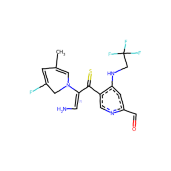 CC1=CN(/C(=C\N)C(=S)c2cnc(C=O)cc2NCC(F)(F)F)CC(F)=C1